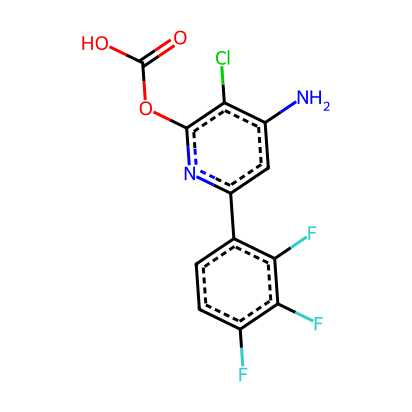 Nc1cc(-c2ccc(F)c(F)c2F)nc(OC(=O)O)c1Cl